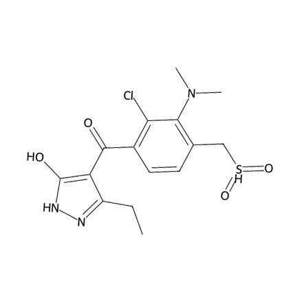 CCc1n[nH]c(O)c1C(=O)c1ccc(C[SH](=O)=O)c(N(C)C)c1Cl